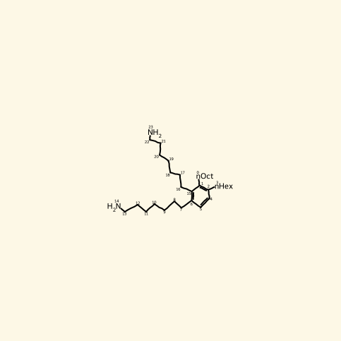 CCCCCCCCc1c(CCCCCC)ccc(CCCCCCCN)c1CCCCCCCN